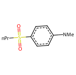 CCCS(=O)(=O)c1ccc(NC)cc1